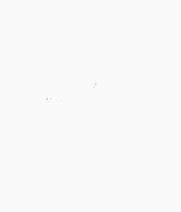 CO[C](OC)Sc1ccccc1